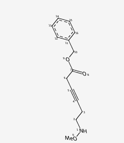 CONCCC#CCC(=O)OCc1ccccc1